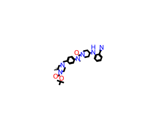 C[C@H]1CN(Cc2ccc(N(C)C(=O)N3CCC(Nc4ccccc4C#N)CC3)cc2)CCN1C(=O)OC(C)(C)C